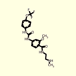 CNCCNC(=O)c1ccc(NC(=O)Nc2ccc(OC(F)(F)F)cc2)cc1OC